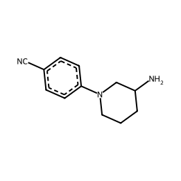 N#Cc1ccc(N2CCCC(N)C2)cc1